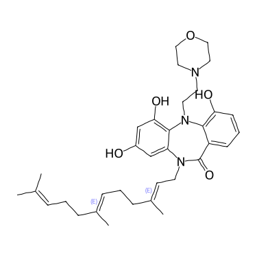 CC(C)=CCC/C(C)=C/CC/C(C)=C/CN1C(=O)c2cccc(O)c2N(CCN2CCOCC2)c2c(O)cc(O)cc21